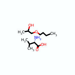 CC(C)[C@H](N)C(=O)O.CCCCOCC(C)O